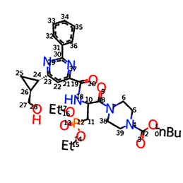 CCCCOC(=O)N1CCN(C(=O)C(CP(=O)(OCC)OCC)NC(=O)c2cc([C@H]3C[C@@H]3CO)nc(-c3ccccc3)n2)CC1